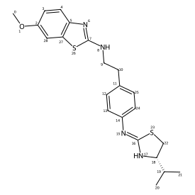 COc1ccc2nc(NCCc3ccc(/N=C4/N[C@@H](C(C)C)CS4)cc3)sc2c1